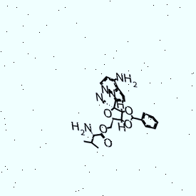 CC(C)[C@H](N)C(=O)OC[C@H]1O[C@@](C#N)(c2ccc3c(N)ccnn23)[C@@H]2OC(c3ccccc3)O[C@@H]21